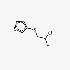 CCC(Cl)CSc1ccsc1